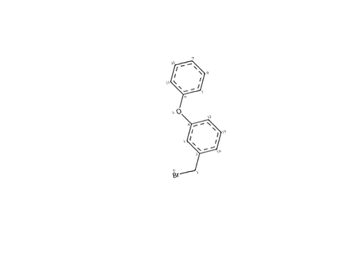 BrCc1[c]c(Oc2ccccc2)ccc1